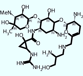 CN[C@@H]1[C@@H](O)[C@@H](O[C@H]2[C@H](NC(=O)C3(O)CC3NC(=N)N)C[C@H](N)C(O[C@H]3OC(CNCC(N)CO)=CC[C@H]3N)[C@@H]2O)OC[C@]1(C)O